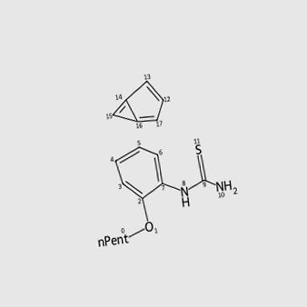 CCCCCOc1ccccc1NC(N)=S.c1cc2cc-2c1